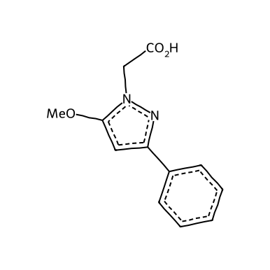 COc1cc(-c2ccccc2)nn1CC(=O)O